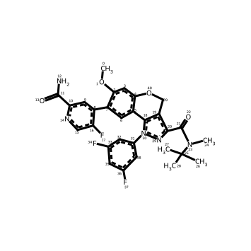 COc1cc2c(cc1-c1cc(C(N)=O)ncc1F)-c1c(c(C(=O)N(C)C(C)(C)C)nn1-c1cc(F)cc(F)c1)CO2